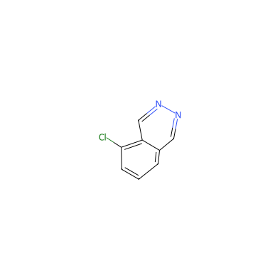 Clc1cccc2cnncc12